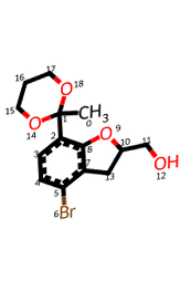 CC1(c2ccc(Br)c3c2OC(CO)C3)OCCCO1